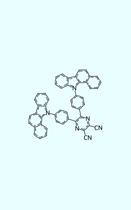 N#Cc1nc(-c2ccc(-n3c4ccccc4c4ccc5ccccc5c43)cc2)c(-c2ccc(-n3c4ccccc4c4ccc5ccccc5c43)cc2)nc1C#N